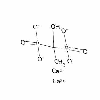 CC(O)(P(=O)([O-])[O-])P(=O)([O-])[O-].[Ca+2].[Ca+2]